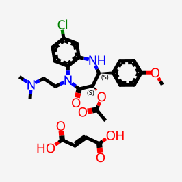 COc1ccc([C@@H]2Nc3cc(Cl)ccc3N(CCN(C)C)C(=O)[C@H]2OC(C)=O)cc1.O=C(O)C=CC(=O)O